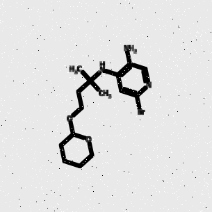 CC(C)(CCOC1CCCCO1)Nc1cc(Br)ncc1N